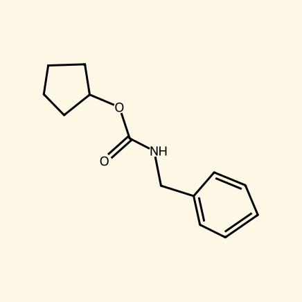 O=C(NCc1ccccc1)OC1CCCC1